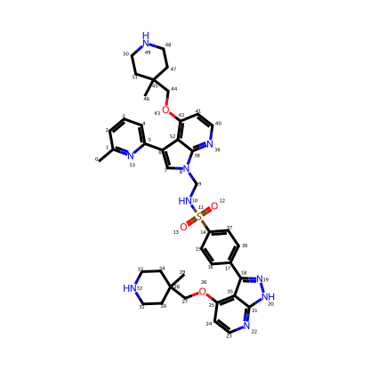 Cc1cccc(-c2cn(CNS(=O)(=O)c3ccc(-c4n[nH]c5nccc(OCC6(C)CCNCC6)c45)cc3)c3nccc(OCC4(C)CCNCC4)c23)n1